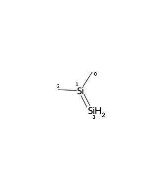 C[Si](C)=[SiH2]